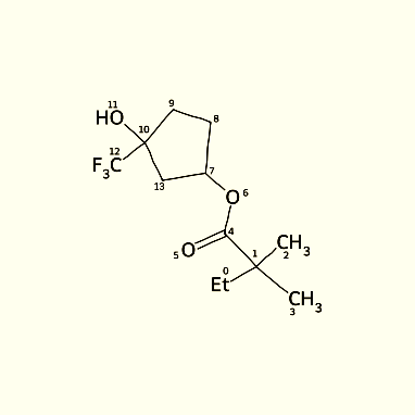 CCC(C)(C)C(=O)OC1CCC(O)(C(F)(F)F)C1